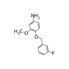 COc1cc(N)ccc1OCc1cccc(F)c1